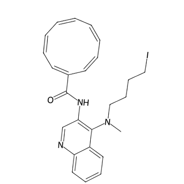 CN(CCCCI)c1c(NC(=O)c2ccccccccc2)cnc2ccccc12